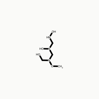 CON(CO)CN(O)CNO